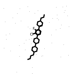 CCCCC1CCC(C2CCC(c3ccc(C4=CCC(CCC)CC4)c(F)c3Cl)CC2)CC1